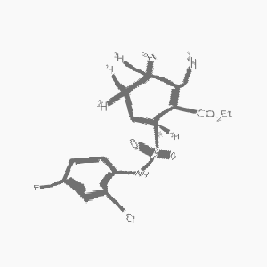 [2H]C1=C(C(=O)OCC)[C@]([2H])(S(=O)(=O)Nc2ccc(F)cc2Cl)CC([2H])([2H])C1([2H])[2H]